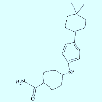 CC1(C)CCC(c2ccc(NC3CCC(C(N)=O)CC3)cc2)CC1